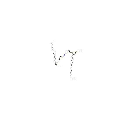 CCCCCCCCCCCCc1cc(C)sc1-c1ccc(/C=C/c2ccc(-c3sc(C)cc3CCCCCCCCCCCC)s2)s1